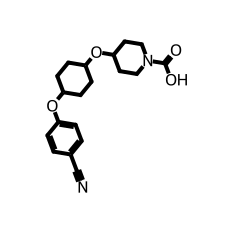 N#Cc1ccc(OC2CCC(OC3CCN(C(=O)O)CC3)CC2)cc1